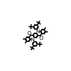 Cc1cc2c(=O)c3cc4c(cc3n(-c3cc(C(C)(C)C)cc(C(C)(C)C)c3)c2cc1C)c(=O)c1cc(C)c(C)cc1n4-c1cc(C(C)(C)C)cc(C(C)(C)C)c1